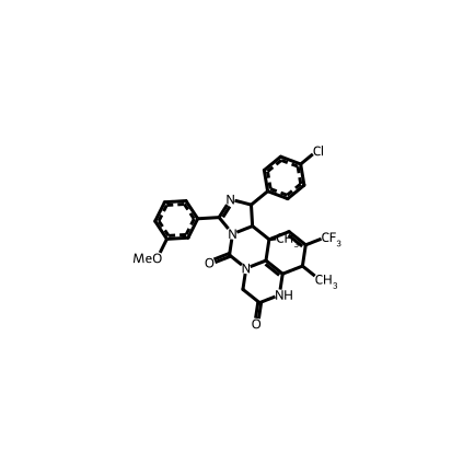 COc1cccc(C2=NC(c3ccc(Cl)cc3)C3N2C(=O)N2CC(=O)NC4=C2C3(C)C=C(C(F)(F)F)C4C)c1